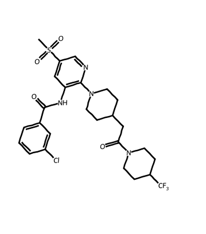 CS(=O)(=O)c1cnc(N2CCC(CC(=O)N3CCC(C(F)(F)F)CC3)CC2)c(NC(=O)c2cccc(Cl)c2)c1